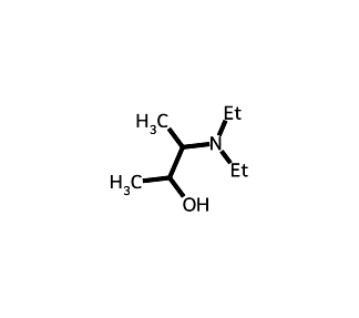 CCN(CC)C(C)C(C)O